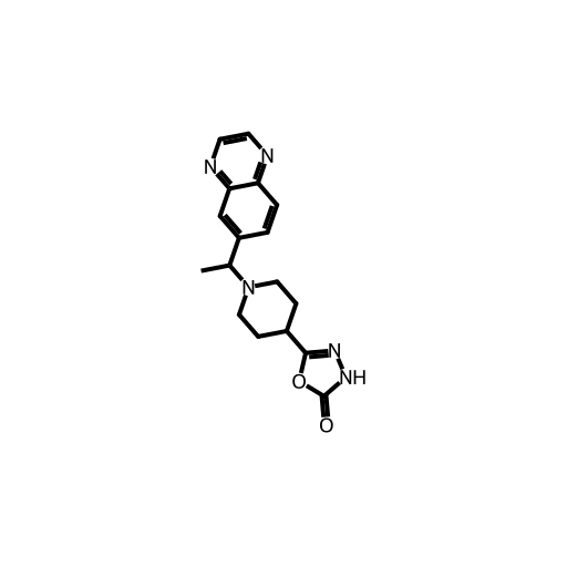 CC(c1ccc2nccnc2c1)N1CCC(c2n[nH]c(=O)o2)CC1